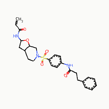 C=CC(=O)NC1CC2CCN(S(=O)(=O)c3ccc(NC(=O)CCc4ccccc4)cc3)CC2O1